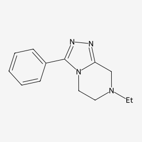 CCN1CCn2c(nnc2-c2ccccc2)C1